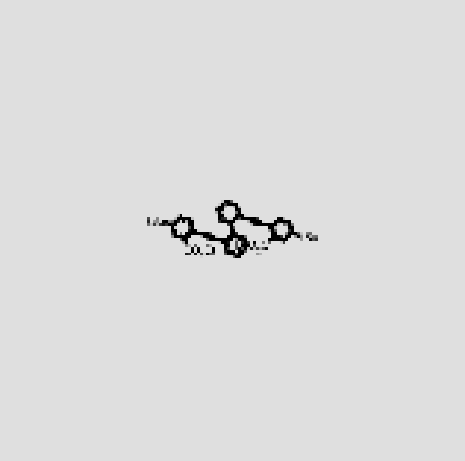 CCOC(=O)c1cc(C(C)(C)C)ccc1C#Cc1ccccc1-c1ccccc1C#Cc1ccc(C(C)(C)C)cc1C(=O)OCC